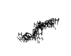 Cc1cc(C(C)(C)c2ccc(O)cc2)ccc1NC(=O)c1ccc(C(=O)Nc2ccc(C(C)(C)c3ccc(O)cc3)cc2C)cc1